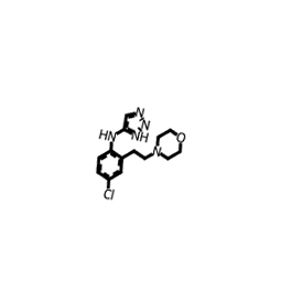 Clc1ccc(Nc2cnn[nH]2)c(CCN2CCOCC2)c1